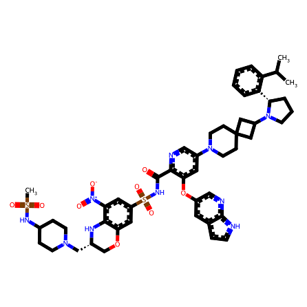 CC(C)c1ccccc1[C@@H]1CCCN1C1CC2(CCN(c3cnc(C(=O)NS(=O)(=O)c4cc5c(c([N+](=O)[O-])c4)N[C@@H](CN4CCC(NS(C)(=O)=O)CC4)CO5)c(Oc4cnc5[nH]ccc5c4)c3)CC2)C1